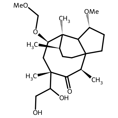 COCO[C@@H]1C[C@@](C)(C(O)CO)C(=O)[C@H](C)C23CC[C@@H](C)[C@]1(C)C2[C@H](OC)CC3